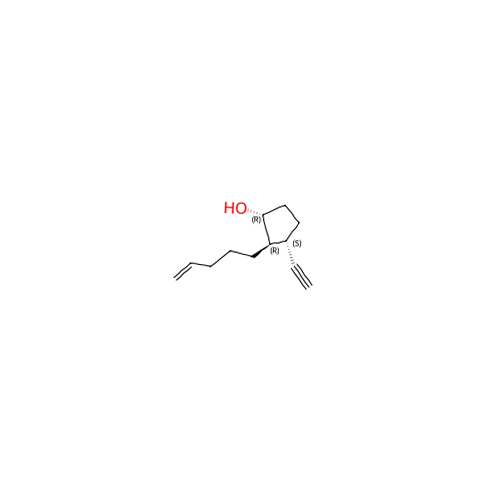 C#C[C@H]1CC[C@@H](O)[C@@H]1CCCC=C